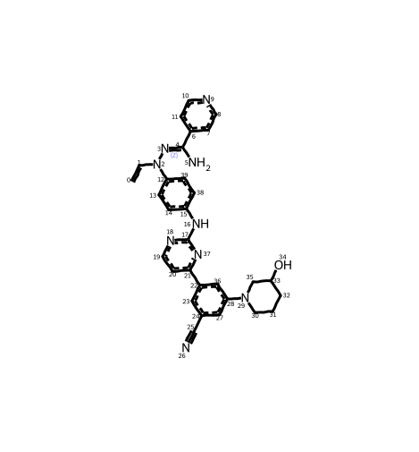 C=CN(/N=C(\N)c1ccncc1)c1ccc(Nc2nccc(-c3cc(C#N)cc(N4CCCC(O)C4)c3)n2)cc1